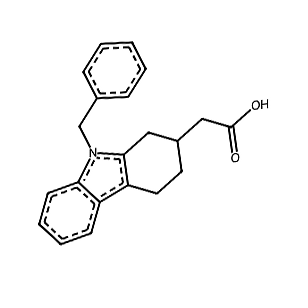 O=C(O)CC1CCc2c(n(Cc3ccccc3)c3ccccc23)C1